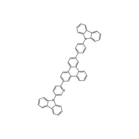 c1ccc2c(c1)c1cc(-c3ccc(-n4c5ccccc5c5ccccc54)cc3)ccc1c1ccc(-c3ccc(-n4c5ccccc5c5ccccc54)cn3)cc21